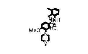 COc1ccc(S(=O)(=O)Nc2cccc(C)c2C)cc1N1CCN(C)CC1.Cl